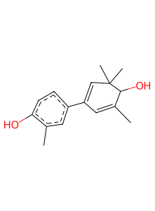 CC1=CC(c2ccc(O)c(C)c2)=CC(C)(C)C1O